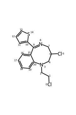 ClCCN1CC(Cl)CN=C(c2cccs2)c2ccccc21